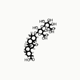 CC1(C(=O)O)CCC2(C)CCC3(C)C(=CC(=O)C4C5(C)CCC(OC6OC(C(=O)O)C(O)C(OC7OC(C(=O)O)C(O)C(O)C7O)C6O)C(C)(C)C5CCC43C)C2C1